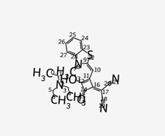 CCN(CC)CC.CN1C(=CC2=C(O)C(=O)C2=C(C#N)C#N)Sc2ccccc21